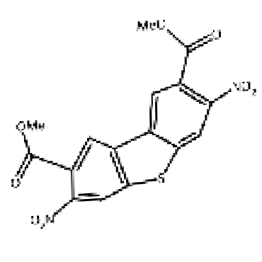 COC(=O)c1cc2c(cc1[N+](=O)[O-])sc1cc([N+](=O)[O-])c(C(=O)OC)cc12